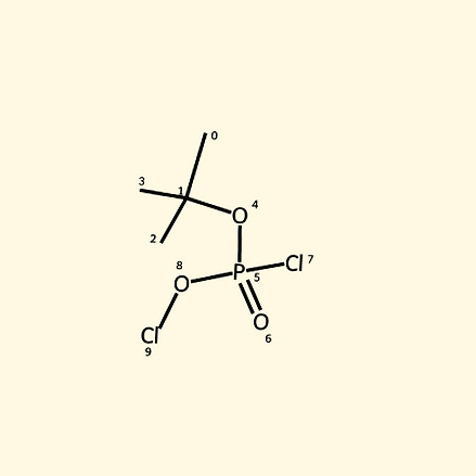 CC(C)(C)OP(=O)(Cl)OCl